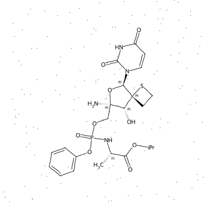 CC(C)OC(=O)[C@H](C)NP(=O)(OC[C@@]1(N)O[C@@H](n2ccc(=O)[nH]c2=O)[C@@]2(CCS2)[C@@H]1O)Oc1ccccc1